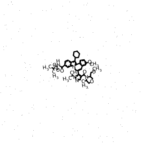 COCC1COCC(C)N1C(=O)c1cnn(C(C)C)c1C1=Cc2cc(OC)ccc2-c2c(C3CCCCC3)c3ccc(C(=O)NS(=O)(=O)C(C)C)cc3n2C1